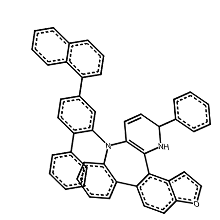 C1=CC(c2ccccc2)NC2=C1N(c1cc(-c3cccc4ccccc34)ccc1-c1ccccc1)c1ccccc1-c1ccc3occc3c12